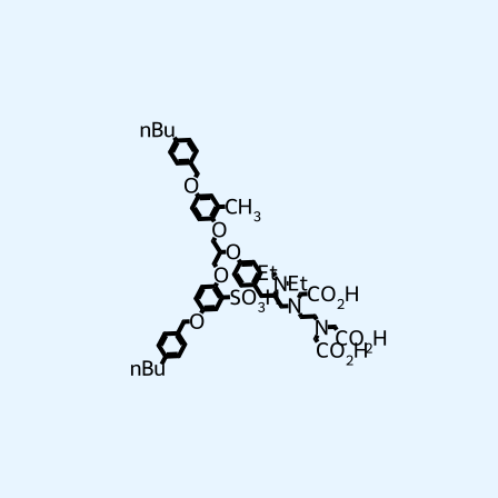 CCCCc1ccc(COc2ccc(OCC(COc3ccc(OCc4ccc(CCCC)cc4)cc3S(=O)(=O)O)Oc3ccc(CC(CN(CCN(CC(=O)O)CC(=O)O)CC(=O)O)N(CC)CC)cc3)c(C)c2)cc1